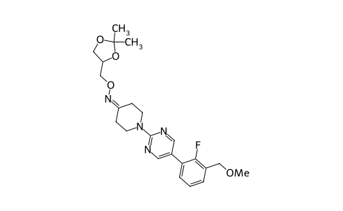 COCc1cccc(-c2cnc(N3CCC(=NOCC4COC(C)(C)O4)CC3)nc2)c1F